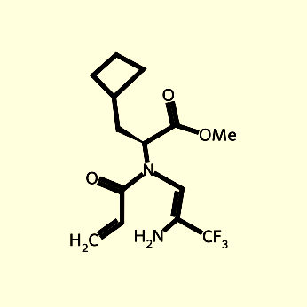 C=CC(=O)N(/C=C(\N)C(F)(F)F)[C@@H](CC1CCC1)C(=O)OC